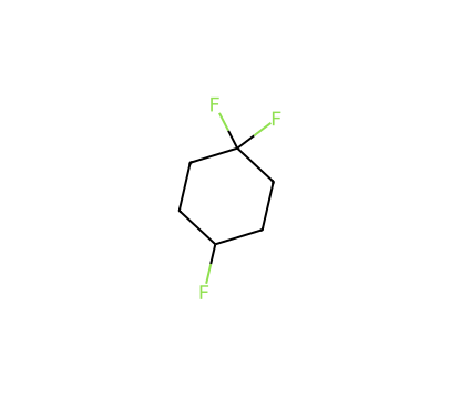 FC1CCC(F)(F)CC1